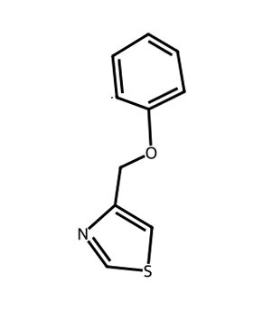 [c]1ccccc1OCc1cscn1